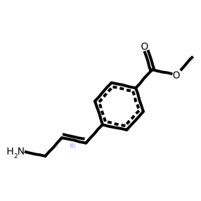 COC(=O)c1ccc(/C=C/CN)cc1